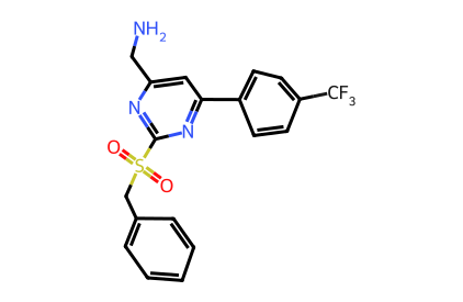 NCc1cc(-c2ccc(C(F)(F)F)cc2)nc(S(=O)(=O)Cc2ccccc2)n1